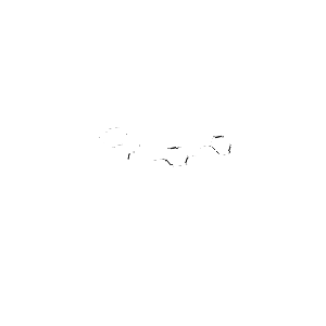 COc1cc(CNC(=O)[C@H]2CCCNC2)ccc1OCc1ccccc1